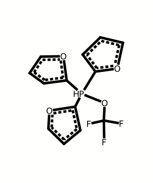 FC(F)(F)O[PH](c1ccco1)(c1ccco1)c1ccco1